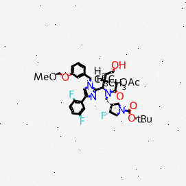 COCOc1cccc(Cn2cc(-c3cc(F)ccc3F)nc2[C@H](N(C[C@@H]2CN(C(=O)OC(C)(C)C)C[C@@H]2F)C(=O)[C@H](C)OC(C)=O)C(C)(C)CCO)c1